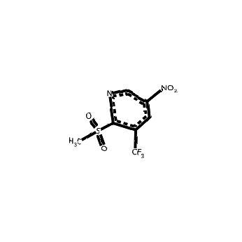 CS(=O)(=O)c1ncc([N+](=O)[O-])cc1C(F)(F)F